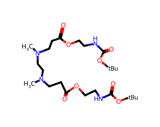 CN(CCC(=O)OCCNC(=O)OC(C)(C)C)CCN(C)CCC(=O)OCCNC(=O)OC(C)(C)C